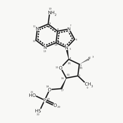 CC1[C@@H](F)[C@H](n2cnc3c(N)ncnc32)O[C@@H]1COP(=O)(O)S